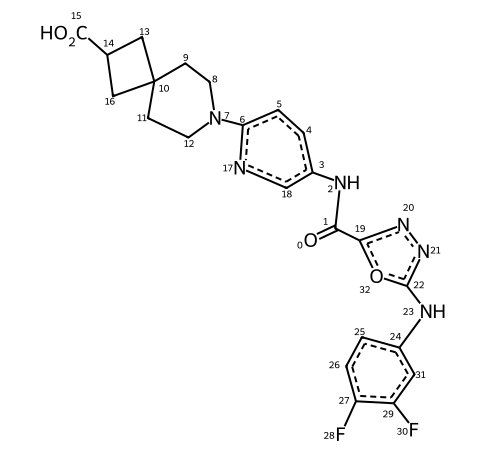 O=C(Nc1ccc(N2CCC3(CC2)CC(C(=O)O)C3)nc1)c1nnc(Nc2ccc(F)c(F)c2)o1